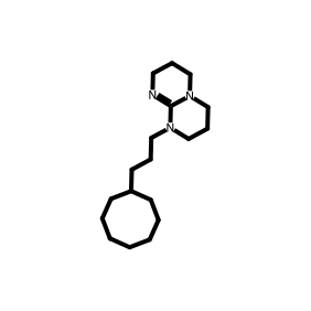 C1CCCC(CCCN2CCCN3CCCN=C32)CCC1